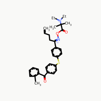 C=CCC/C(=N\OC(=O)C(C)(C)N(CC)CC)c1ccc(Sc2ccc(C(=O)c3ccccc3C)cc2)cc1